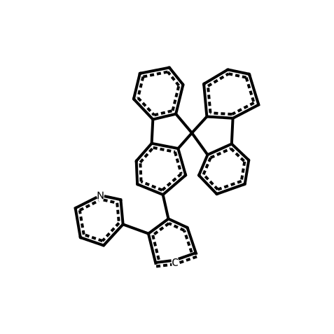 c1cncc(-c2ccccc2-c2ccc3c(c2)C2(c4ccccc4-c4ccccc42)c2ccccc2-3)c1